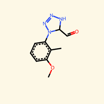 COc1cccc(N2N=NNC2C=O)c1C